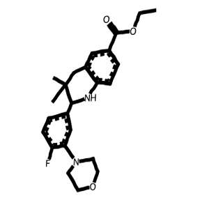 CCOC(=O)c1ccc2c(c1)CC(C)(C)C(c1ccc(F)c(N3CCOCC3)c1)N2